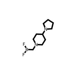 FB(F)CN1CCC(N2CCCC2)CC1